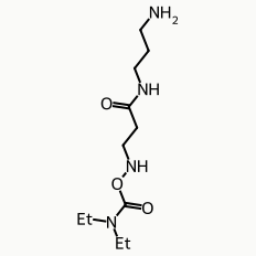 CCN(CC)C(=O)ONCCC(=O)NCCCN